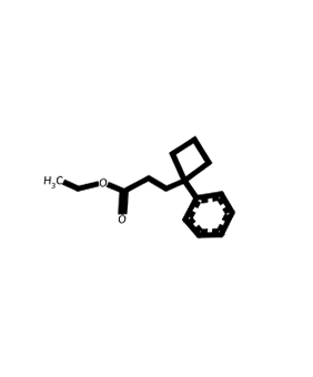 CCOC(=O)CCC1(c2cc[c]cc2)CCC1